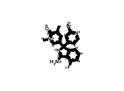 Cc1cc(C2(c3ccnc(Br)c3)N=C(N)c3c(F)cccc32)cn(C)c1=O